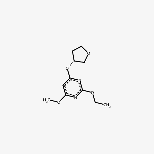 CCOc1nc(OC)cc(O[C@@H]2CCOC2)n1